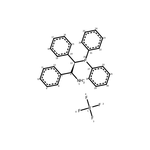 F[B-](F)(F)F.[NH3+]C(c1ccccc1)[C@@H](c1ccccc1)P(c1ccccc1)c1ccccc1